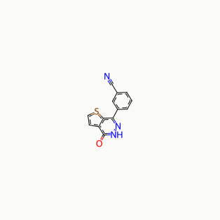 N#Cc1cccc(-c2n[nH]c(=O)c3ccsc23)c1